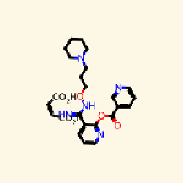 N=C(NOCCCN1CCCCC1)c1cccnc1OC(=O)c1cccnc1.O=C(O)/C=C\C(=O)O